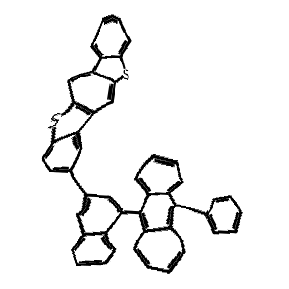 c1ccc(-c2c3ccccc3c(-c3cc(-c4ccc5sc6cc7c(cc6c5c4)sc4ccccc47)cc4ccccc34)c3ccccc23)cc1